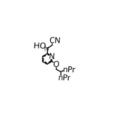 CCCC(CCC)COc1cccc([C@H](O)CC#N)n1